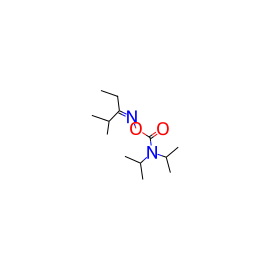 CC/C(=N/OC(=O)N(C(C)C)C(C)C)C(C)C